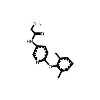 Cc1cccc(C)c1Oc1ccc(NC(=O)CN)cn1